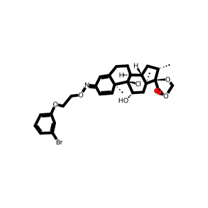 C[C@H]1C[C@H]2[C@@H]3CCC4=C/C(=N/OCCOc5cccc(Br)c5)C=C[C@]4(C)[C@@]3(Cl)[C@@H](O)C[C@]2(C)[C@]12OCOC21COCO1